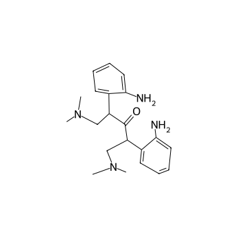 CN(C)CC(C(=O)C(CN(C)C)c1ccccc1N)c1ccccc1N